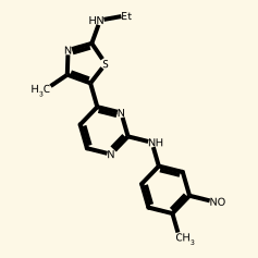 CCNc1nc(C)c(-c2ccnc(Nc3ccc(C)c(N=O)c3)n2)s1